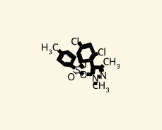 Cc1ccc(S(=O)(=O)Oc2c(-c3ccc(Cl)cc3Cl)c(C)nn2C)cc1